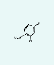 CNc1ccc(F)cc1Cl